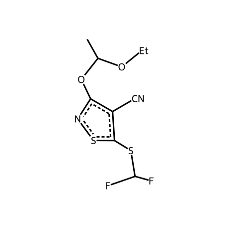 CCOC(C)Oc1nsc(SC(F)F)c1C#N